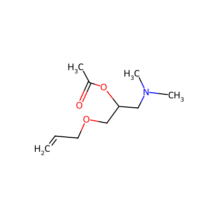 C=CCOCC(CN(C)C)OC(C)=O